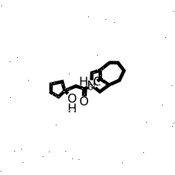 CC1C2CCCCC1CN(C(=O)CC1(O)CCCC1)C2